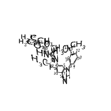 CC[C@@H](Nc1cc(Nc2cccc(C(C)=O)c2)c(C#N)cc1F)[C@H](C)NC(=O)OC(C)(C)C